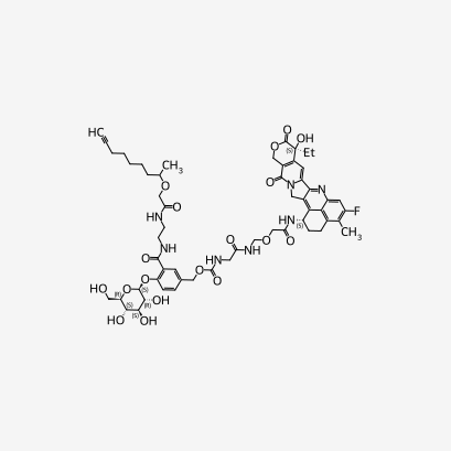 C#CCCCCCC(C)OCC(=O)NCCNC(=O)c1cc(COC(=O)NCC(=O)NCOCC(=O)N[C@H]2CCc3c(C)c(F)cc4nc5c(c2c34)Cn2c-5cc3c(c2=O)COC(=O)[C@]3(O)CC)ccc1O[C@@H]1O[C@H](CO)[C@@H](O)[C@H](O)[C@H]1O